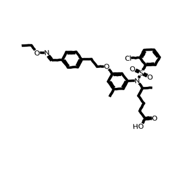 CCON=Cc1ccc(CCOc2cc(C)cc(N(C(C)CCCC(=O)O)S(=O)(=O)c3ccccc3Cl)c2)cc1